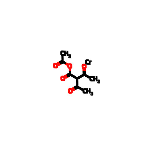 CC(=O)OC(=O)C(C(C)=O)C(C)=O.[Cr]